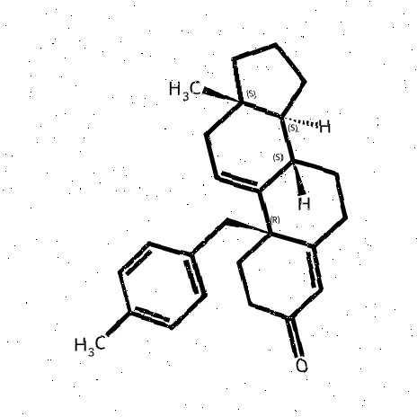 Cc1ccc(C[C@]23CCC(=O)C=C2CC[C@@H]2C3=CC[C@]3(C)CCC[C@@H]23)cc1